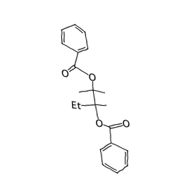 CCC(C)(OC(=O)c1ccccc1)C(C)(C)OC(=O)c1ccccc1